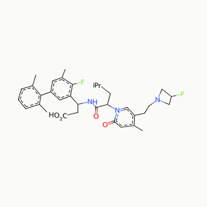 Cc1cc(=O)n(C(CC(C)C)C(=O)NC(CC(=O)O)c2cc(-c3c(C)cccc3C)cc(C)c2F)cc1CCN1CC(F)C1